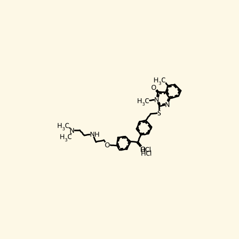 Cc1cccc2nc(SCc3ccc(C(=O)c4ccc(OCCNCCN(C)C)cc4)cc3)n(C)c(=O)c12.Cl.Cl